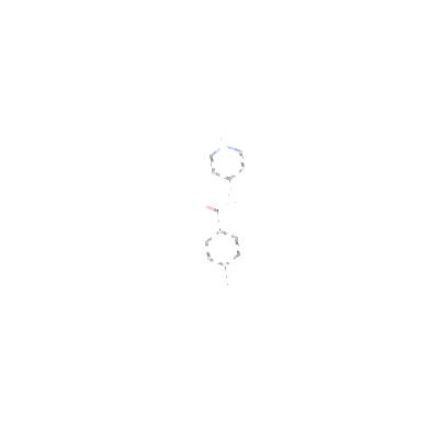 CC(C)(C)Cc1ccc(C(=O)Nc2ccncc2)cc1